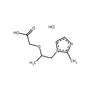 Cc1nccn1CC(C)OCC(=O)O.Cl